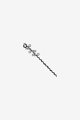 CCC=CCC=CCC=CCC=CCC=CCCCC(=O)NCCNC(=O)CNC(=O)c1cccnc1